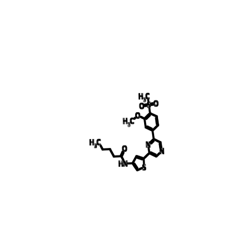 CCCCC(=O)Nc1csc(-c2cncc(-c3ccc(S(C)(=O)=O)c(OC)c3)n2)c1